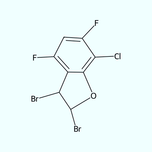 Fc1cc(F)c2c(c1Cl)OC(Br)C2Br